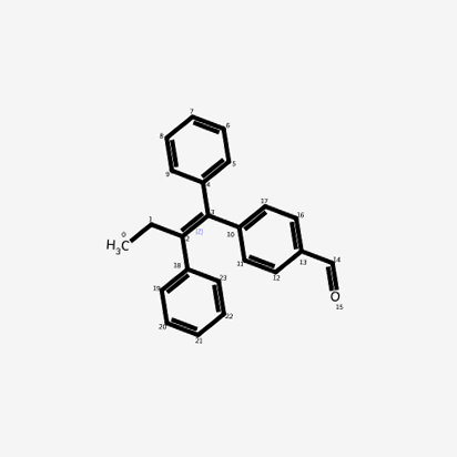 CC/C(=C(\c1ccccc1)c1ccc(C=O)cc1)c1ccccc1